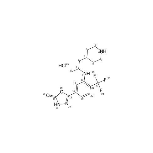 CC(CC1CCNCC1)Nc1cc(-c2n[nH]c(=O)o2)ccc1C(F)(F)F.Cl